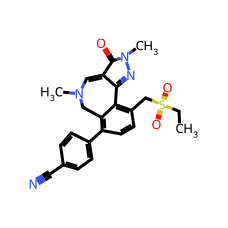 CCS(=O)(=O)Cc1ccc(-c2ccc(C#N)cc2)c2c1C1=NN(C)C(=O)C1=CN(C)C2